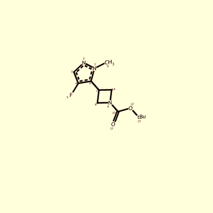 Cn1ncc(F)c1C1CN(C(=O)OC(C)(C)C)C1